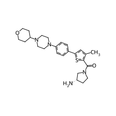 Cc1cc(-c2ccc(N3CCN(C4CCOCC4)CC3)cc2)sc1C(=O)N1CC[C@H](N)C1